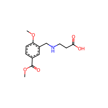 COC(=O)c1ccc(OC)c(CNCCC(=O)O)c1